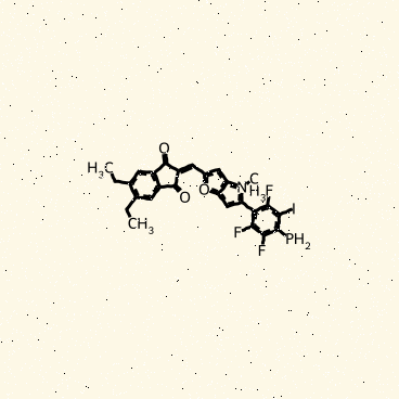 CCc1cc2c(cc1CC)C(=O)C(=Cc1cc3c(cc(-c4c(F)c(F)c(P)c(I)c4F)n3C)o1)C2=O